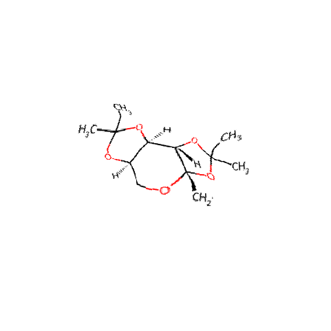 [CH2][C@@]12OC[C@H]3OC(C)(C)O[C@H]3[C@@H]1OC(C)(C)O2